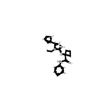 CCn1c(SC2(C(=O)Nc3ccccc3)CCC2)nnc1-c1cccs1